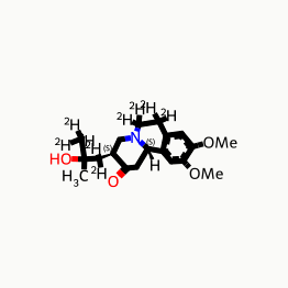 [2H]C([2H])([2H])C(C)(O)C([2H])([2H])[C@H]1CN2[C@@H](CC1=O)c1cc(OC)c(OC)cc1C([2H])([2H])C2([2H])[2H]